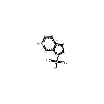 CS(=O)(=O)n1ccc2ccncc21